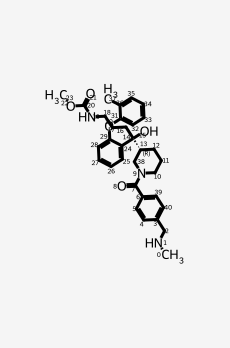 CNCc1ccc(C(=O)N2CCC[C@@H](C(O)(CCCNC(=O)OC)c3ccccc3Oc3ccccc3C)C2)cc1